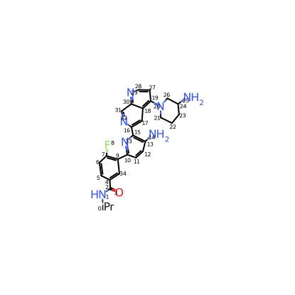 CC(C)NC(=O)c1ccc(F)c(-c2ccc(N)c(-c3cc4c(N5CCCC(N)C5)ccnc4cn3)n2)c1